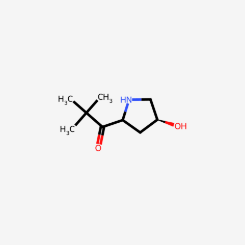 CC(C)(C)C(=O)C1C[C@H](O)CN1